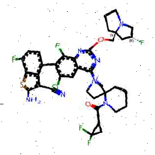 N#Cc1c(N)sc2c(F)ccc(-c3c(Cl)cc4c(N5CCC6(CCCCN6C(=O)C6CC6(F)F)C5)nc(OC[C@@]56CCCN5C[C@H](F)C6)nc4c3F)c12